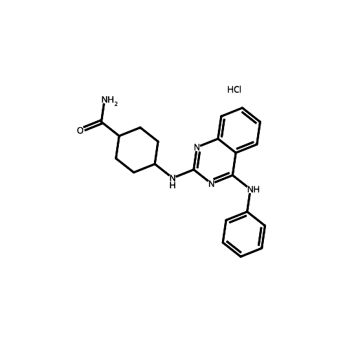 Cl.NC(=O)C1CCC(Nc2nc(Nc3ccccc3)c3ccccc3n2)CC1